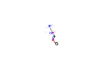 CC(=N)NCCC[C@H](N)C(=O)NCC(C)(C)CN(C)C(=O)OCc1ccccc1